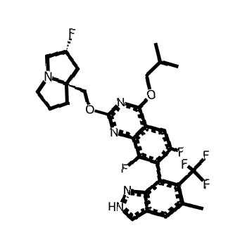 Cc1cc2c[nH]nc2c(-c2c(F)cc3c(OCC(C)C)nc(OC[C@@]45CCCN4C[C@H](F)C5)nc3c2F)c1C(F)(F)F